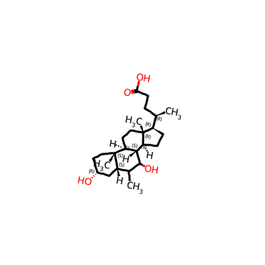 CC1C(O)[C@@H]2[C@H](CC[C@]3(C)[C@@H]([C@H](C)CCC(=O)O)CC[C@@H]23)[C@@]2(C)CC[C@@H](O)C[C@@H]12